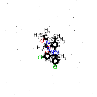 CCOc1cc(C(C)(C)C)ccc1C1=N[C@@](C)(c2ccc(Cl)cc2)[C@@](C)(c2ccc(Cl)cc2)N1C(=O)N1CCN(CC(=O)C(C)C)CC1